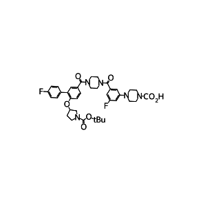 CC(C)(C)OC(=O)N1CCC(Oc2ccc(C(=O)N3CCN(C(=O)c4cc(F)cc(N5CCN(C(=O)O)CC5)c4)CC3)cc2-c2ccc(F)cc2)C1